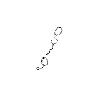 O=Cc1ccc(OCCCN2CCN(c3ccccc3)CC2)cc1